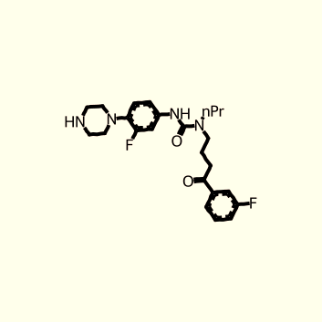 CCCN(CCCC(=O)c1cccc(F)c1)C(=O)Nc1ccc(N2CCNCC2)c(F)c1